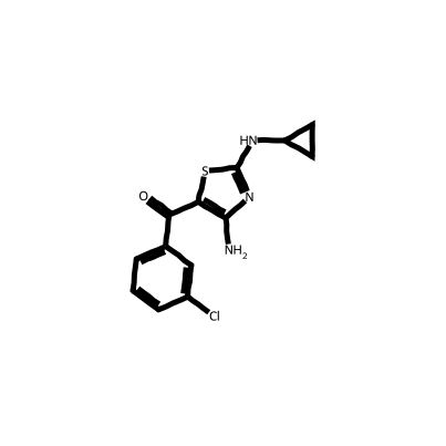 Nc1nc(NC2CC2)sc1C(=O)c1cccc(Cl)c1